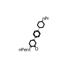 CCCCC[C@@H]1CC[C@H](c2ccc([C@H]3CC[C@H](CCC)CC3)cc2)CC1=O